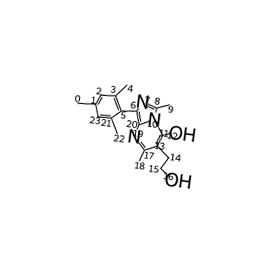 Cc1cc(C)c(-c2nc(C)n3c(O)c(CCO)c(C)nc23)c(C)c1